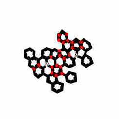 c1ccc(-c2ccc(N(c3ccccc3-c3cccc4ccccc34)c3ccccc3-c3cc4ccccc4c4cc(-c5ccc(N(c6ccccc6-c6ccccc6)c6cccc(-c7ccccc7)c6-c6ccccc6)c(-c6cc7ccccc7c7ccccc67)c5)ccc34)c(-c3ccccc3)c2)cc1